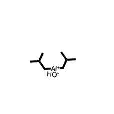 CC(C)[CH2][Al+][CH2]C(C)C.[OH-]